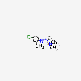 Cc1cc(Cl)ccc1/N=C/N(C)SN(C)C